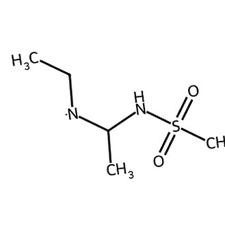 CC[N]C(C)NS(C)(=O)=O